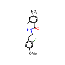 COc1ccc(CCNC(=O)c2ccc([N+](=O)[O-])cc2C)c(F)c1